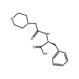 O=C(CN1CCOCC1)N[C@@H](Cc1ccccc1)C(=O)O